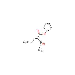 COCCC(C(=O)Oc1ccccc1)C1OC1C